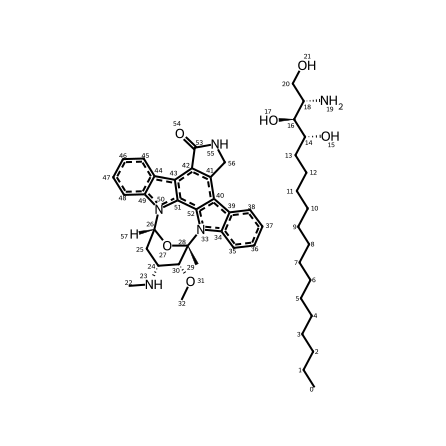 CCCCCCCCCCCCCC[C@@H](O)[C@@H](O)[C@@H](N)CO.CN[C@@H]1C[C@H]2O[C@@](C)([C@@H]1OC)n1c3ccccc3c3c4c(c5c6ccccc6n2c5c31)C(=O)NC4